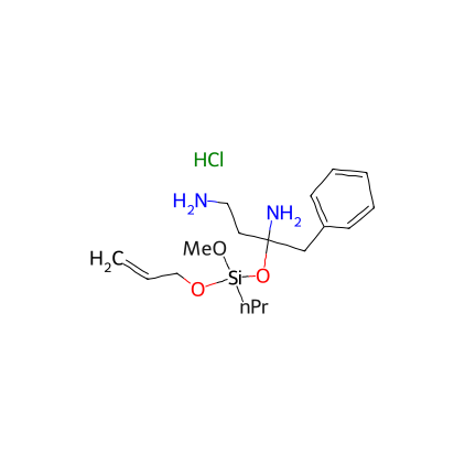 C=CCO[Si](CCC)(OC)OC(N)(CCN)Cc1ccccc1.Cl